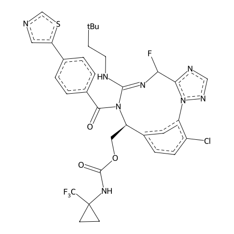 CC(C)(C)CCN/C1=N\C(F)c2ncnn2-c2cc(ccc2Cl)[C@@H](COC(=O)NC2(C(F)(F)F)CC2)N1C(=O)c1ccc(-c2cncs2)cc1